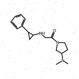 CN(C)C1CCN(C(=O)CNC2CC2c2ccccc2)C1